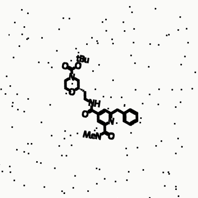 CNC(=O)c1cc(C(=O)NCC[C@H]2CN(C(=O)OC(C)(C)C)CCO2)cc(Cc2ccccc2)n1